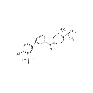 CC(C)(C)N1CCN(C(=O)c2cccc(-c3ccc(Cl)c(C(F)(F)F)c3)c2)CC1